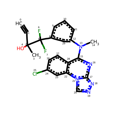 C#CC(C)(O)C(F)(F)c1cccc(N(C)c2nc3nncn3c3cc(Cl)ccc23)c1